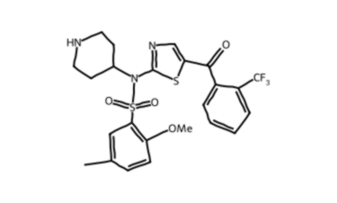 COc1ccc(C)cc1S(=O)(=O)N(c1ncc(C(=O)c2ccccc2C(F)(F)F)s1)C1CCNCC1